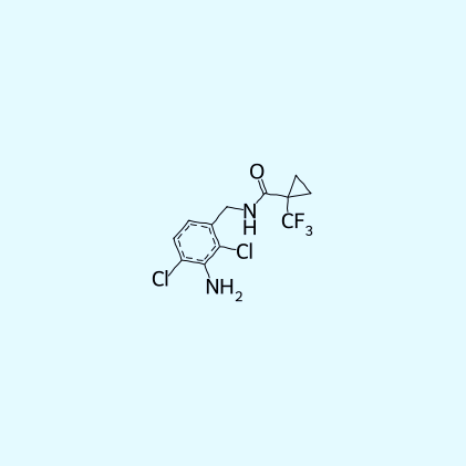 Nc1c(Cl)ccc(CNC(=O)C2(C(F)(F)F)CC2)c1Cl